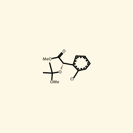 COC(=O)[C@@H](OC(C)(C)OC)c1ccccc1Cl